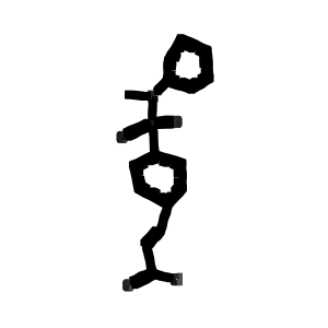 CN(c1ccccc1)S(=O)(=O)c1ccc(C=CC(=O)Cl)cc1